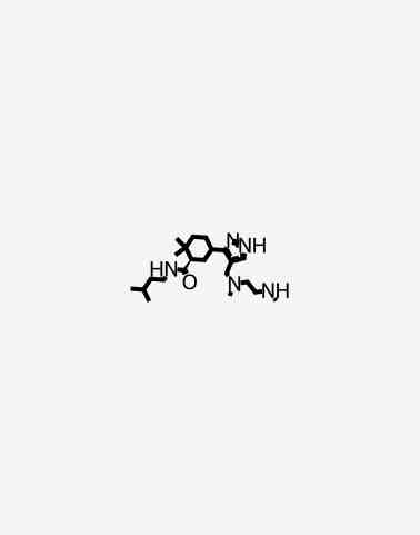 CNCCN(C)Cc1c[nH]nc1C1CCC(C)(C)[C@H](C(=O)NCCC(C)C)C1